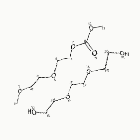 COCCOCCOC(=O)OC.OCCOCCOCCO